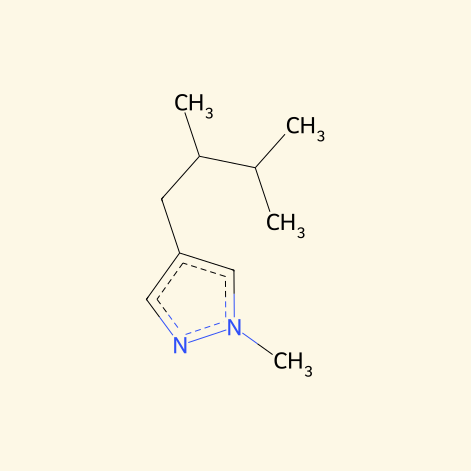 CC(C)C(C)Cc1cnn(C)c1